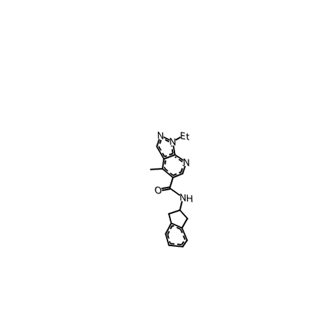 CCn1ncc2c(C)c(C(=O)NC3Cc4ccccc4C3)cnc21